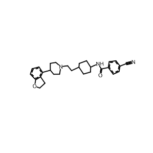 N#Cc1ccc(C(=O)NC2CCC(CCN3CCC(c4cccc5c4CCO5)CC3)CC2)cc1